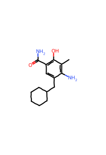 Cc1c(N)c(CC2CCCCC2)cc(C(N)=O)c1O